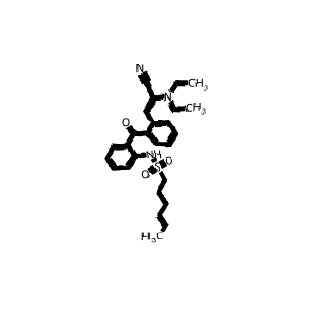 CC=CCCCS(=O)(=O)Nc1ccccc1C(=O)c1ccccc1C=C(C#N)N(CC)CC